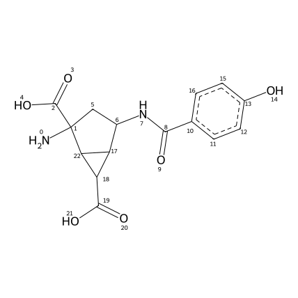 NC1(C(=O)O)CC(NC(=O)c2ccc(O)cc2)C2C(C(=O)O)C21